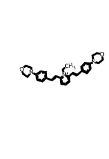 CC[n+]1c(/C=C/c2ccc(N3CCOCC3)cc2)cccc1/C=C/c1ccc(N2CCOCC2)cc1